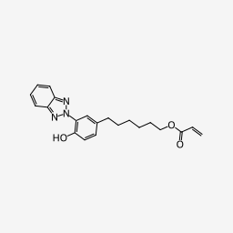 C=CC(=O)OCCCCCCc1ccc(O)c(-n2nc3ccccc3n2)c1